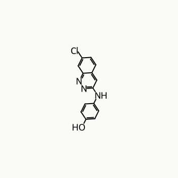 Oc1ccc(Nc2cc3ccc(Cl)cc3nn2)cc1